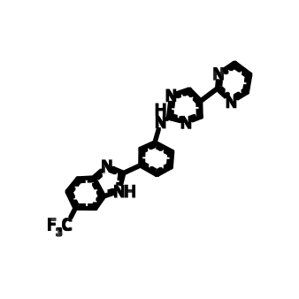 FC(F)(F)c1ccc2nc(-c3cccc(Nc4ncc(-c5ncccn5)cn4)c3)[nH]c2c1